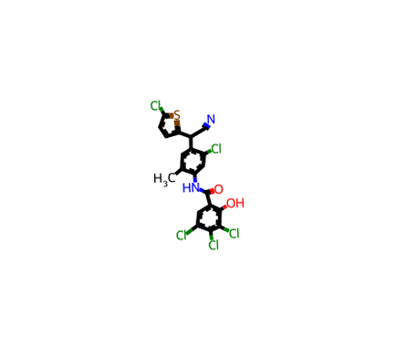 Cc1cc(C(C#N)c2ccc(Cl)s2)c(Cl)cc1NC(=O)c1cc(Cl)c(Cl)c(Cl)c1O